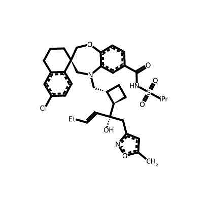 CC/C=C/[C@](O)(Cc1cc(C)on1)[C@@H]1CC[C@H]1CN1C[C@@]2(CCCc3cc(Cl)ccc32)COc2ccc(C(=O)NS(=O)(=O)C(C)C)cc21